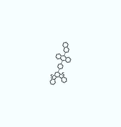 c1ccc2cc(-c3c4ccccc4c(-c4ccc(-c5cc6sc7ccccc7c6c6c5sc5ccccc56)cc4)c4ccccc34)ccc2c1